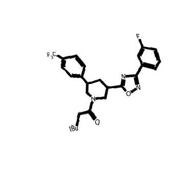 CC(C)(C)CC(=O)N1CC(c2ccc(C(F)(F)F)cc2)CC(c2nc(-c3cccc(F)c3)no2)C1